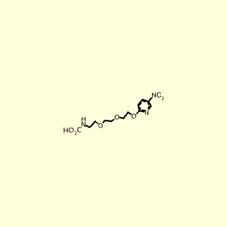 O=C(O)NCCOCCOCCOc1ccc([N+](=O)[O-])cn1